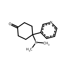 CN(C)C1(c2cccnc2)CCC(=O)CC1